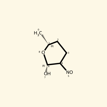 C[C@@H]1CCC(N=O)[C@H](O)O1